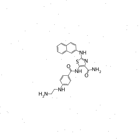 NCCNc1ccc(C(=O)Nc2sc(Nc3ccc4ccccc4c3)nc2C(N)=O)cc1